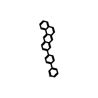 c1cncc(-c2ccc(-c3ccc4cc5c(ccc6ccccc65)cc4c3)cc2)c1